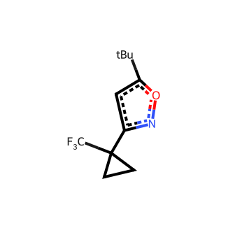 CC(C)(C)c1cc(C2(C(F)(F)F)CC2)no1